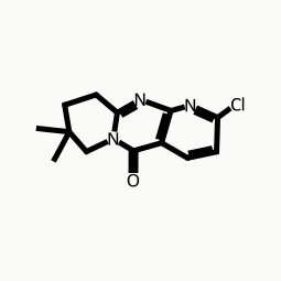 CC1(C)CCc2nc3nc(Cl)ccc3c(=O)n2C1